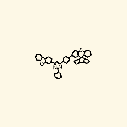 c1ccc(-c2nc(-c3ccc(-c4ccc5c(c4)C4(c6ccccc6S5)c5ccccc5-c5ccccc54)cc3)cc(-c3ccc4c(c3)oc3ccccc34)n2)cc1